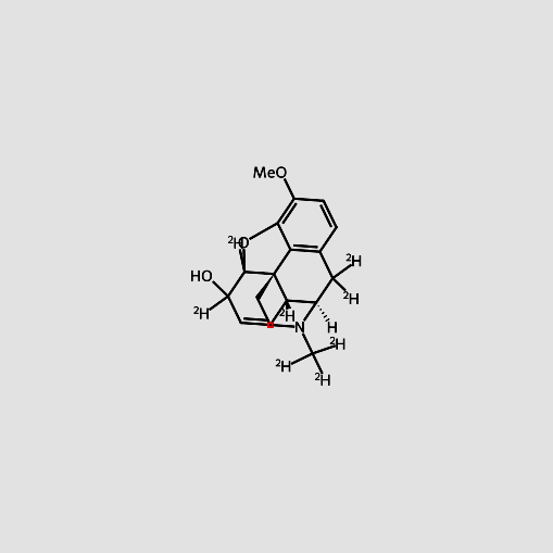 [2H]C1([2H])c2ccc(OC)c3c2[C@]24CCN(C([2H])([2H])[2H])[C@H]1[C@]2([2H])C=CC([2H])(O)C4([2H])O3